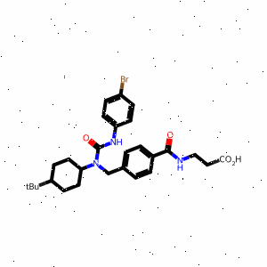 CC(C)(C)C1CCC(N(Cc2ccc(C(=O)NCCC(=O)O)cc2)C(=O)Nc2ccc(Br)cc2)CC1